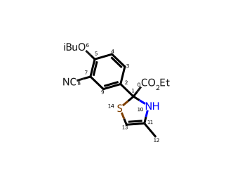 CCOC(=O)C1(c2ccc(OCC(C)C)c(C#N)c2)NC(C)=CS1